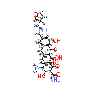 CN(C)[C@@H]1C(O)=C(C(N)=O)C(=O)[C@@]2(O)C(O)=C3C(=O)c4c(O)cc(CNCC5(C)CCOC5)c(F)c4C[C@H]3C[C@@H]12